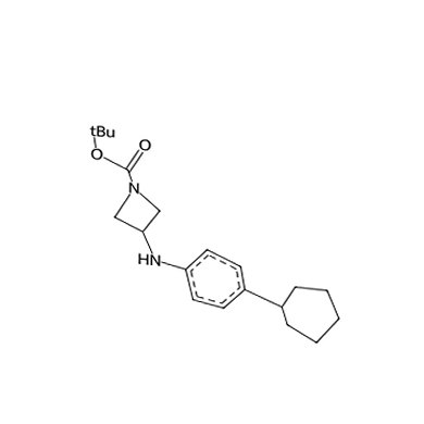 CC(C)(C)OC(=O)N1CC(Nc2ccc(C3CCCCC3)cc2)C1